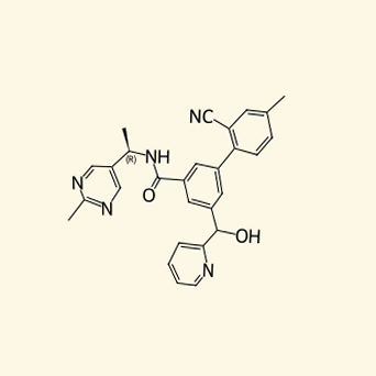 Cc1ccc(-c2cc(C(=O)N[C@H](C)c3cnc(C)nc3)cc(C(O)c3ccccn3)c2)c(C#N)c1